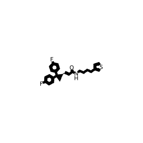 O=C(/C=C/[C@@H]1CC1(c1ccc(F)cc1)c1ccc(F)cc1)NCCCCc1ccsc1